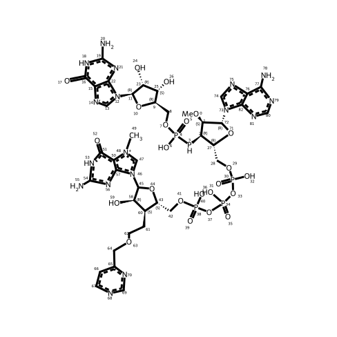 CO[C@@H]1[C@H](PP(=O)(O)OC[C@H]2O[C@@H](n3cnc4c(=O)[nH]c(N)nc43)[C@H](O)[C@@H]2O)[C@@H](COP(=O)(O)OP(=O)(O)OP(=O)(O)OC[C@H]2OC(n3c[n+](C)c4c(=O)[nH]c(N)nc43)[C@H](O)[C@@H]2CCOCc2ccncn2)O[C@H]1n1cnc2c(N)ncnc21